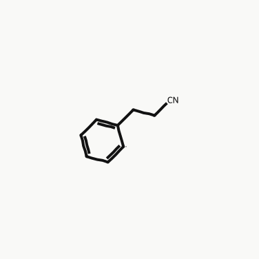 N#CCCc1[c]cccc1